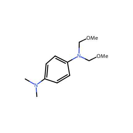 COCN(COC)c1ccc(N(C)C)cc1